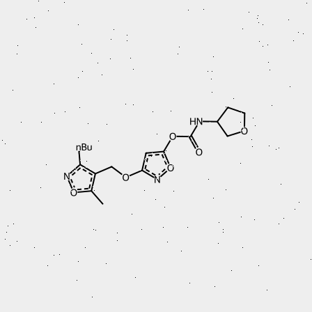 CCCCc1noc(C)c1COc1cc(OC(=O)NC2CCOC2)on1